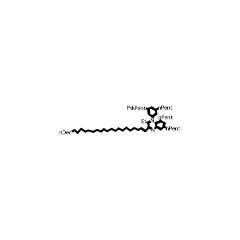 CCCCCCCCCCCCCCCCCCCCCCCCCCCCC=CC(=Nc1cc(CCCCC)cc(CCCCC)c1)C(CC)=Nc1cc(CCCCC)cc(CCCCC)c1.[Pd]